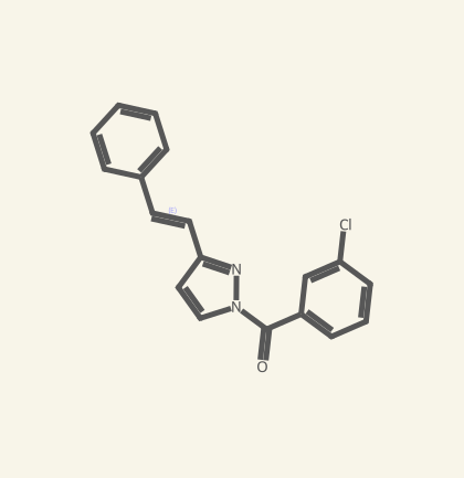 O=C(c1cccc(Cl)c1)n1ccc(/C=C/c2ccccc2)n1